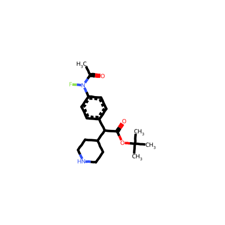 CC(=O)N(F)c1ccc(C(C(=O)OC(C)(C)C)C2CCNCC2)cc1